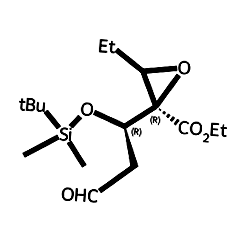 CCOC(=O)[C@@]1([C@@H](CC=O)O[Si](C)(C)C(C)(C)C)OC1CC